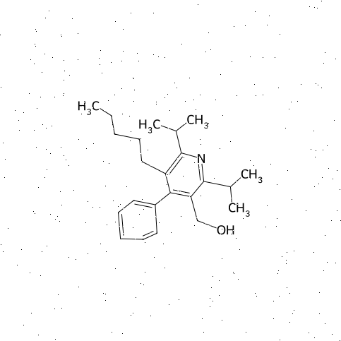 CCCCCc1c(C(C)C)nc(C(C)C)c(CO)c1-c1ccccc1